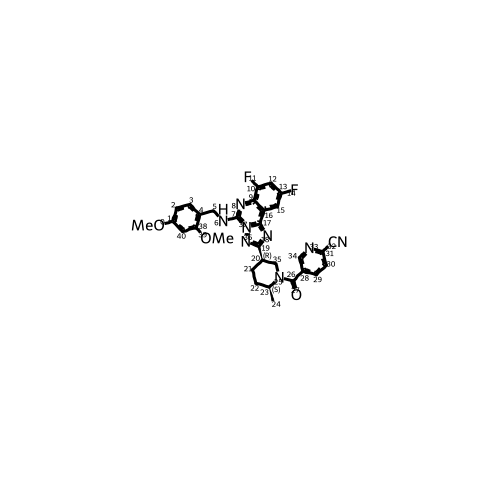 COc1ccc(CNc2nc3c(F)cc(F)cc3c3nc([C@@H]4CC[C@H](C)N(C(=O)c5ccc(C#N)nc5)C4)nn23)c(OC)c1